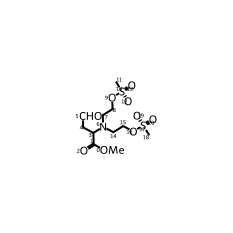 COC(=O)C(CC=O)N(CCOS(C)(=O)=O)CCOS(C)(=O)=O